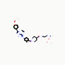 Cc1cc(Nc2nccn3c(-c4ccc(OCC#N)c(F)c4F)cnc23)ccc1C(=O)N1CCC(C(=O)NCCCN(C)C(=O)OC(C)(C)C)CC1